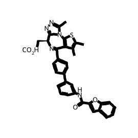 Cc1sc2c(c1C)C(c1ccc(-c3cccc(NC(=O)c4cc5ccccc5o4)c3)cc1)=N[C@@H](CC(=O)O)c1nnc(C)n1-2